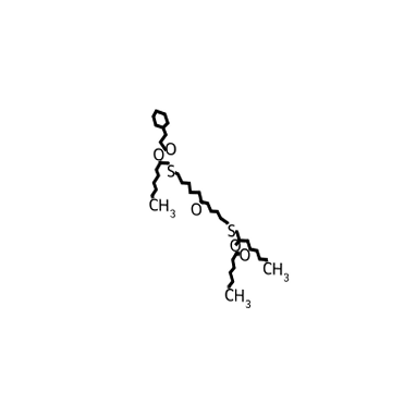 CCCCCCC(=O)OC(CCCCCC)CSCCCCCC(=O)CCCCCSCC(CCCCCC)OC(=O)CCC1CCCCC1